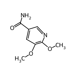 COc1cc(C(N)=O)cnc1OC